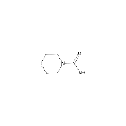 [NH]C(=O)N1CCCCC1